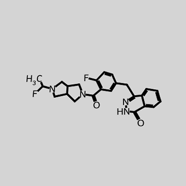 CC(F)N1CC2CN(C(=O)c3cc(Cc4n[nH]c(=O)c5ccccc45)ccc3F)CC2C1